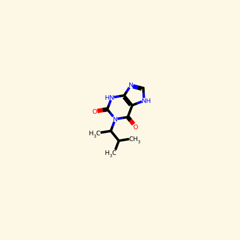 CC(C)C(C)n1c(=O)[nH]c2nc[nH]c2c1=O